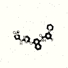 O=C(Nc1ccc(Oc2ccnc(NC3CCS(=O)(=O)C3)n2)c2ccccc12)c1cc(F)cc(N2CCCCC2)c1